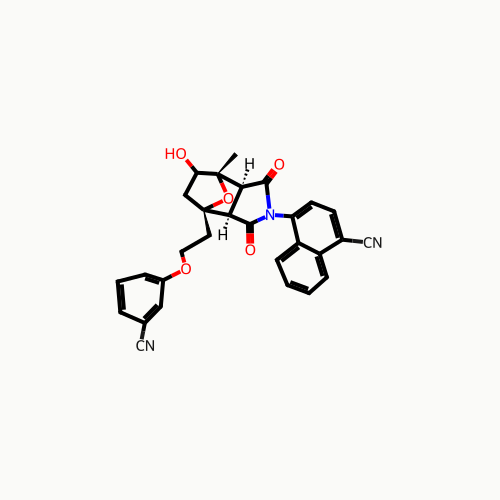 C[C@@]12O[C@@](CCOc3cccc(C#N)c3)(CC1O)[C@@H]1C(=O)N(c3ccc(C#N)c4ccccc34)C(=O)[C@@H]12